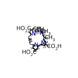 C=C1/C(C)=N/C(=C\C(C)C(=O)O)CCCc2cc(C(=O)O)cc(n2)-c2cc(C(=O)O)cc(n2)/C(C)=C\N1C